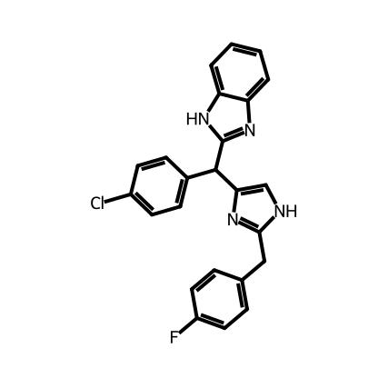 Fc1ccc(Cc2nc(C(c3ccc(Cl)cc3)c3nc4ccccc4[nH]3)c[nH]2)cc1